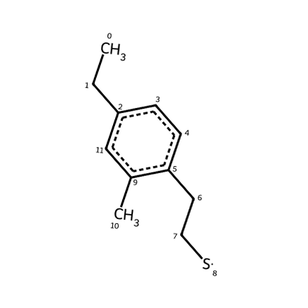 CCc1ccc(CC[S])c(C)c1